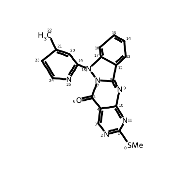 CSc1ncc2c(=O)n3c(nc2n1)c1ccccc1n3-c1cc(C)ccn1